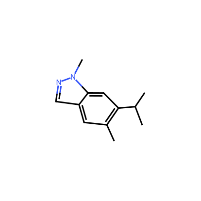 Cc1cc2cnn(C)c2cc1C(C)C